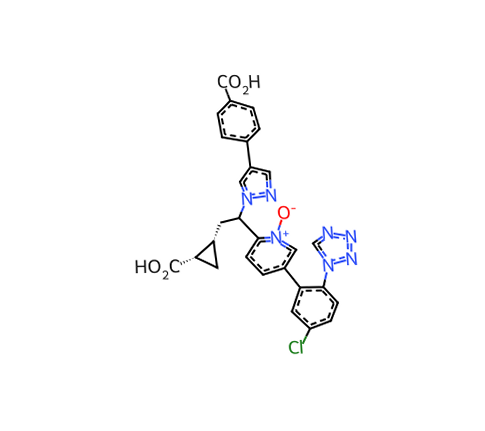 O=C(O)c1ccc(-c2cnn(C(C[C@@H]3C[C@@H]3C(=O)O)c3ccc(-c4cc(Cl)ccc4-n4cnnn4)c[n+]3[O-])c2)cc1